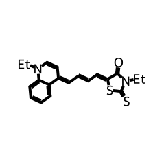 CCN1C(=O)C(=CC=CC=C2C=CN(CC)c3ccccc32)SC1=S